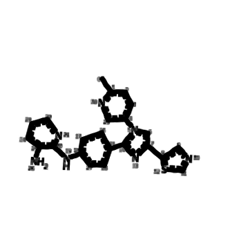 Cc1ccc(-n2cc(-c3cncs3)nc2-c2ccc(Nc3ncccc3N)cc2)cn1